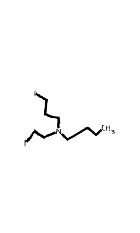 CCCCN(CCI)CCCI